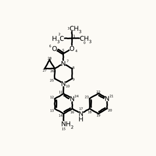 CC(C)(C)OC(=O)N1CCN(c2ccc(N)c(Nc3ccncc3)n2)CC12CC2